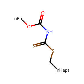 CCCCCCCCSC(=S)NC(=O)OCCCC